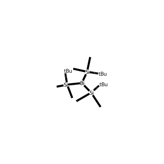 CC(C)(C)[Si](C)(C)[Bi]([Si](C)(C)C(C)(C)C)[Si](C)(C)C(C)(C)C